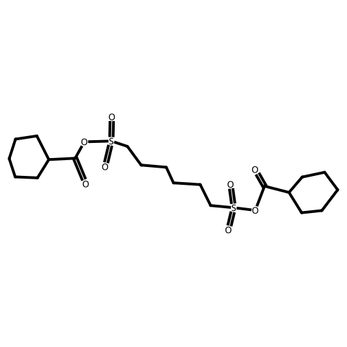 O=C(OS(=O)(=O)CCCCCCS(=O)(=O)OC(=O)C1CCCCC1)C1CCCCC1